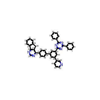 c1ccc(-c2nc(-c3ccccc3)nc(-c3cc(-c4ccc(-c5ncnc6c5Cc5ccccc5-6)cc4)cc(-c4cccnc4)c3)n2)cc1